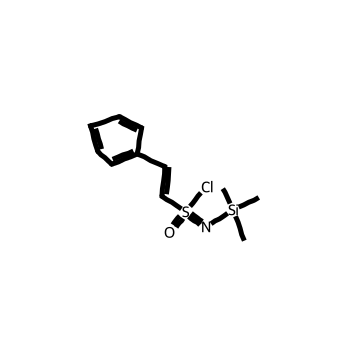 C[Si](C)(C)N=S(=O)(Cl)C=Cc1ccccc1